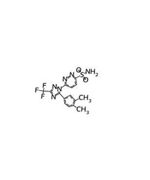 Cc1ccc(-c2nc(C(F)(F)F)nn2-c2ccc(S(N)(=O)=O)nn2)cc1C